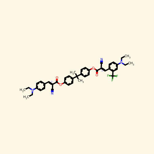 CCN(CC)c1ccc(/C=C(\C#N)C(=O)Oc2ccc(C(C)(C)c3ccc(OC(=O)/C(C#N)=C/c4ccc(N(CC)CC)cc4C(F)(F)F)cc3)cc2)cc1